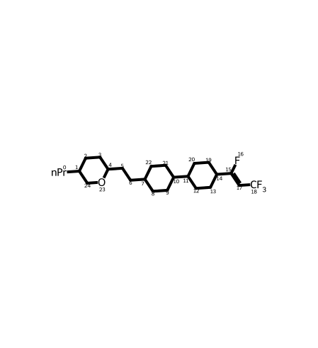 CCCC1CCC(CCC2CCC(C3CCC(/C(F)=C/C(F)(F)F)CC3)CC2)OC1